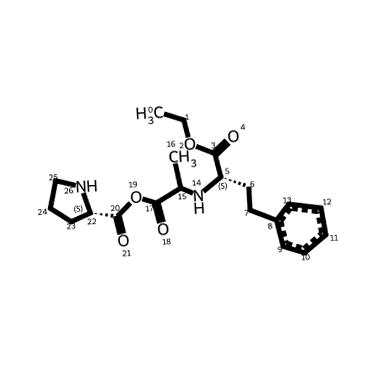 CCOC(=O)[C@H](CCc1ccccc1)NC(C)C(=O)OC(=O)[C@@H]1CCCN1